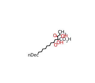 CCCCCCCCCCCCCCCCCC(=O)CC(O)(C(=O)O)C(=O)C(C)O